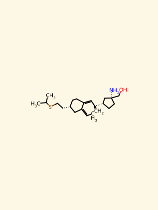 C=C(/C=C1/CC[C@@H](CCSC(C)C)C/C1=C/C)[C@H]1CC[C@](N)(CO)C1